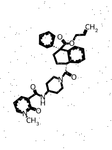 C=CCOC(=O)[C@]1(c2ccccc2)CC[C@@H](C(=O)N2CCC(NC(=O)c3cccn(C)c3=O)CC2)c2ccccc21